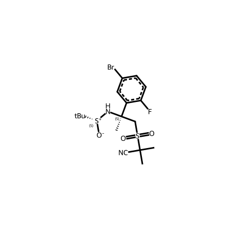 CC(C)(C)[S@@+]([O-])N[C@](C)(CS(=O)(=O)C(C)(C)C#N)c1cc(Br)ccc1F